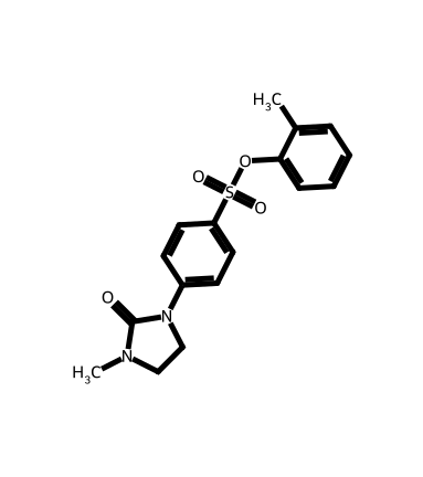 Cc1ccccc1OS(=O)(=O)c1ccc(N2CCN(C)C2=O)cc1